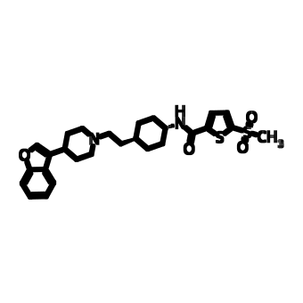 CS(=O)(=O)c1ccc(C(=O)N[C@H]2CC[C@H](CCN3CCC(c4coc5ccccc45)CC3)CC2)s1